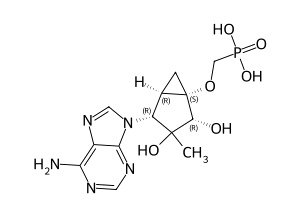 CC1(O)[C@@H](O)[C@]2(OCP(=O)(O)O)C[C@@H]2[C@H]1n1cnc2c(N)ncnc21